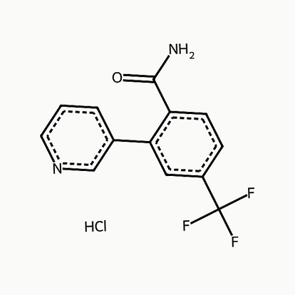 Cl.NC(=O)c1ccc(C(F)(F)F)cc1-c1cccnc1